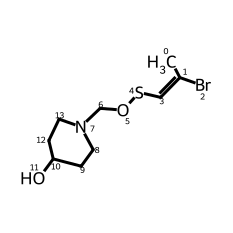 C/C(Br)=C\SOCN1CCC(O)CC1